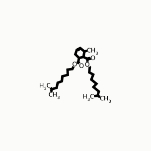 CC(C)CCCCCCCOC(=O)C1CC=CC(C)C1C(=O)OCCCCCCCC(C)C